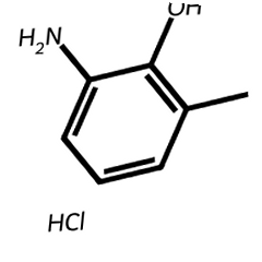 Cc1cccc(N)c1O.Cl